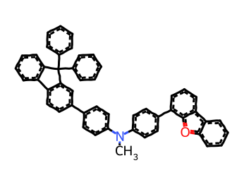 CN(c1ccc(-c2ccc3c(c2)C(c2ccccc2)(c2ccccc2)c2ccccc2-3)cc1)c1ccc(-c2cccc3c2oc2ccccc23)cc1